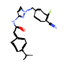 CC(C)c1ccc(CC(=O)Nc2ccn(Cc3ccc(C#N)c(F)c3)n2)cc1